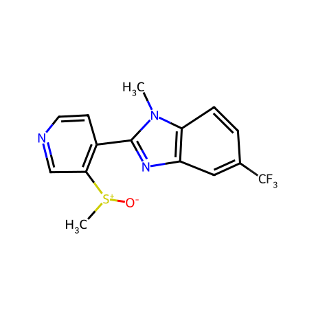 Cn1c(-c2ccncc2[S+](C)[O-])nc2cc(C(F)(F)F)ccc21